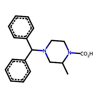 CC1CN(C(c2ccccc2)c2ccccc2)CCN1C(=O)O